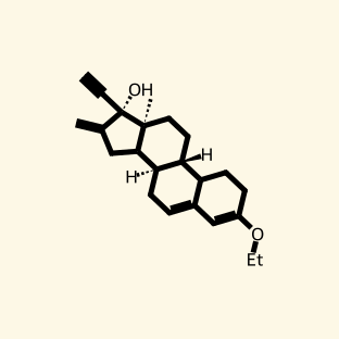 C#C[C@]1(O)C(=C)CC2[C@@H]3CC=C4C=C(OCC)CCC4[C@H]3CC[C@@]21C